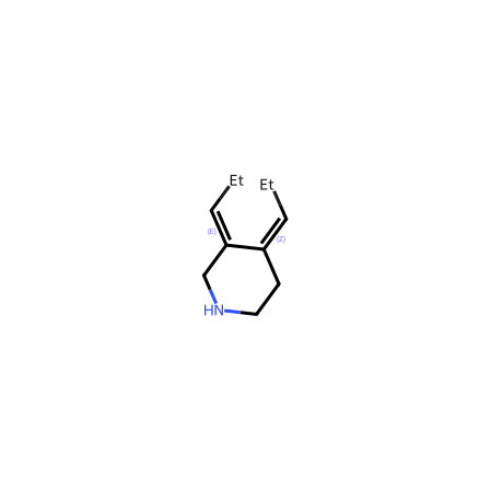 CC/C=C1/CCNC/C1=C/CC